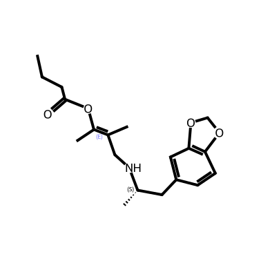 CCCC(=O)O/C(C)=C(\C)CN[C@@H](C)Cc1ccc2c(c1)OCO2